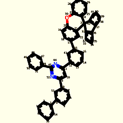 c1ccc(-c2cccc(-c3cc(-c4cccc(-c5ccc6c(c5)C5(c7ccccc7O6)c6ccccc6-c6ccccc65)c4)nc(-c4ccccc4)n3)c2)cc1